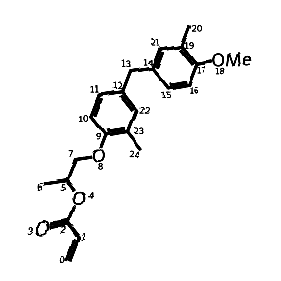 C=CC(=O)OC(C)COc1ccc(Cc2ccc(OC)c(C)c2)cc1C